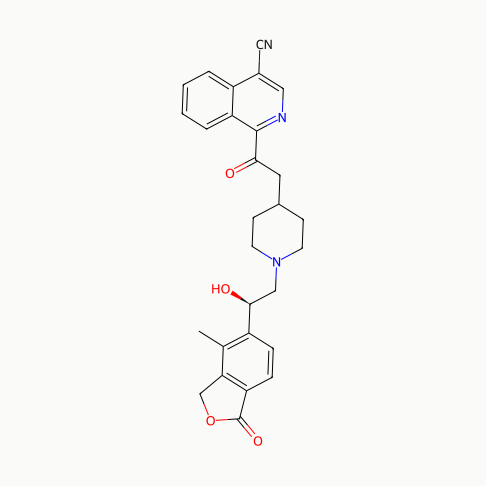 Cc1c([C@@H](O)CN2CCC(CC(=O)c3ncc(C#N)c4ccccc34)CC2)ccc2c1COC2=O